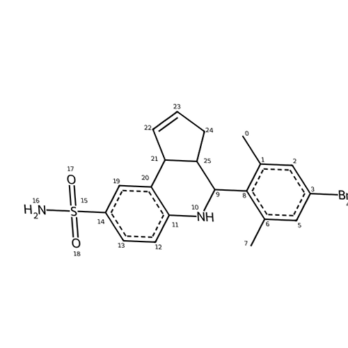 Cc1cc(Br)cc(C)c1C1Nc2ccc(S(N)(=O)=O)cc2C2C=CCC21